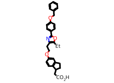 CCc1oc(-c2ccc(OCc3ccccc3)cc2)nc1CCOc1ccc2c(c1)CCC2CC(=O)O